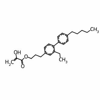 C=C(O)C(=O)OCCCc1ccc(-c2ccc(CCCCC)cc2)c(CC)c1